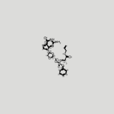 C=CCOC(=O)[C@H](C)NP(=O)(OC[C@@H]1OC[C@H](n2cnc3c(=O)[nH]c(N)nc32)O1)Oc1ccccc1